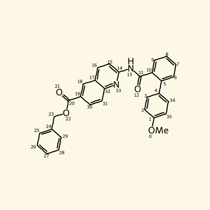 COc1ccc(-c2ccccc2C(=O)Nc2ccc3cc(C(=O)OCc4ccccc4)ccc3n2)cc1